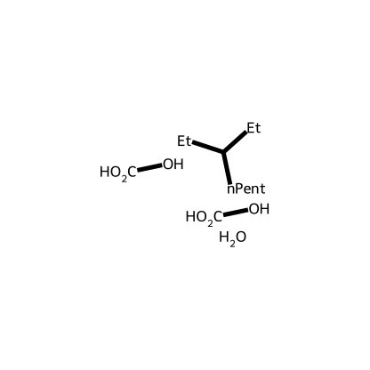 CCCCCC(CC)CC.O.O=C(O)O.O=C(O)O